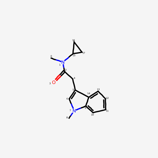 CN(C(=O)Cc1cn(C)c2ccccc12)C1CC1